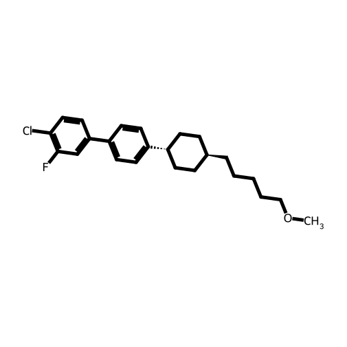 COCCCCC[C@H]1CC[C@H](c2ccc(-c3ccc(Cl)c(F)c3)cc2)CC1